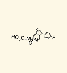 O=C(O)CNC(=O)c1cc2scc(-c3ccc(F)cc3)c2cn1